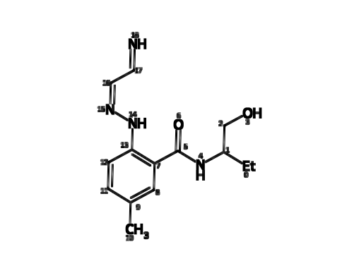 CCC(CO)NC(=O)c1cc(C)ccc1N/N=C\C=N